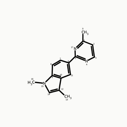 Cc1ccnc(-c2ccc3c(c2)c(C)cn3C)n1